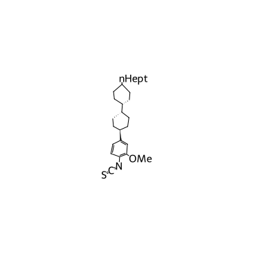 CCCCCCC[C@H]1CC[C@H]([C@H]2CC[C@H](c3ccc(N=C=S)c(OC)c3)CC2)CC1